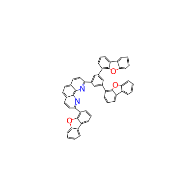 c1ccc2c(c1)oc1c(-c3cc(-c4ccc5ccc6ccc(-c7cccc8c7oc7ccccc78)nc6c5n4)cc(-c4cccc5c4oc4ccccc45)c3)cccc12